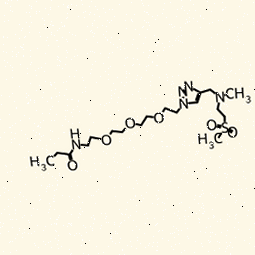 CCC(=O)NCCOCCOCCOCCn1cc(CN(C)CCS(C)(=O)=O)nn1